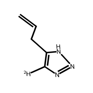 [2H]c1nn[nH]c1CC=C